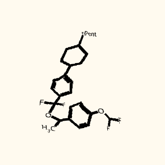 CCCCCC1CCC(c2ccc(C(F)(F)OC(C)c3ccc(OC(F)F)cc3)cc2)CC1